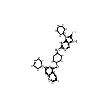 O=c1[nH]c2cnc(NC3CCC(Oc4nc(N5CCOCC5)cc5ncccc45)CC3)nc2n1C1CCOCC1